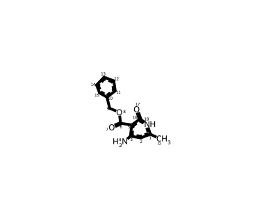 Cc1cc(N)c(C(=O)OCc2ccccc2)c(=O)[nH]1